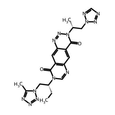 CC[C@H](Cn1nnnc1C)n1cnc2cc3c(=O)n([C@H](C)Cn4ncnn4)nnc3cc2c1=O